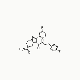 NC(=O)N1CCn2nc(-c3cccc(F)c3)c(C(=O)NCCc3ccc(F)cc3)c2C1